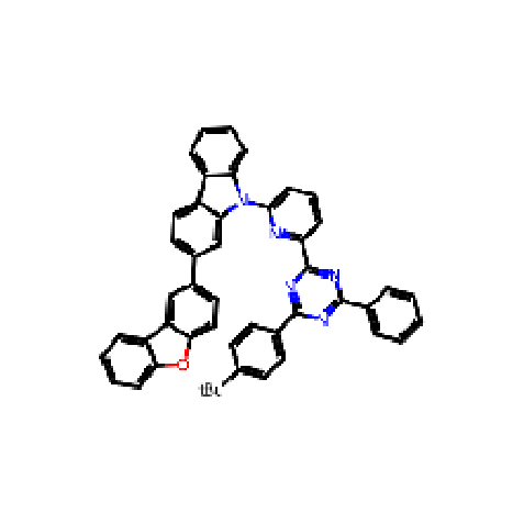 CC(C)(C)c1ccc(-c2nc(-c3ccccc3)nc(-c3cccc(-n4c5ccccc5c5ccc(-c6ccc7oc8ccccc8c7c6)cc54)n3)n2)cc1